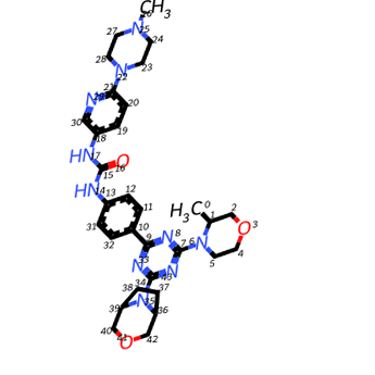 CC1COCCN1c1nc(-c2ccc(NC(=O)Nc3ccc(N4CCN(C)CC4)nc3)cc2)nc(N2C3CCC2COC3)n1